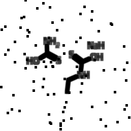 CCNC(O)=S.NC(O)=S.[NaH]